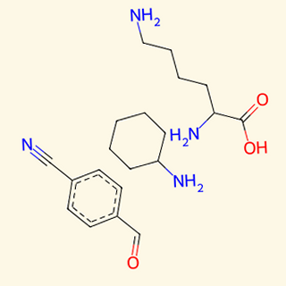 N#Cc1ccc(C=O)cc1.NC1CCCCC1.NCCCCC(N)C(=O)O